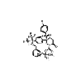 CC(C)(C)OC(=O)C1CC(c2ccc(C(OCc3ccccc3)(C(F)(F)F)C(F)(F)F)cc2)(S(=O)(=O)c2ccc(F)cc2)CCC1=O